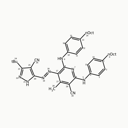 CCCCCCCCc1ccc(Nc2nc(Nc3ccc(CCCCCCCC)cc3)c(N=Nc3[nH]nc(C(C)(C)C)c3C#N)c(C)c2C#N)cc1